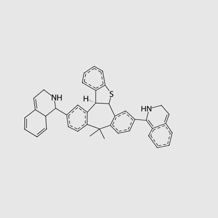 CC1(C)c2ccc(C3=c4ccccc4=CCN3)cc2C2Sc3ccccc3[C@@H]2c2cc(C3NCC=C4C=CC=CC43)ccc21